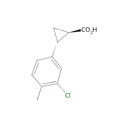 Cc1ccc([C@@H]2C[C@H]2C(=O)O)cc1Cl